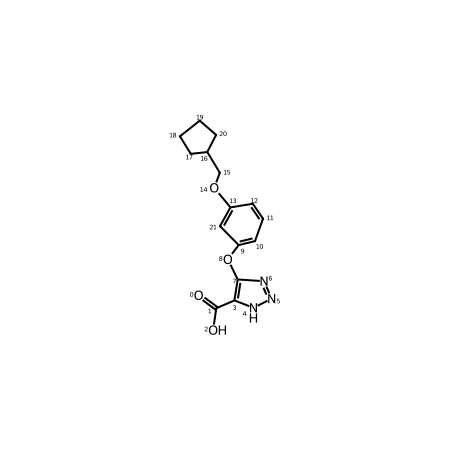 O=C(O)c1[nH]nnc1Oc1cccc(OCC2CCCC2)c1